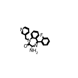 N[C@H]1N=C(c2ccccc2F)c2ccccc2N(Cc2cccnc2)C1=O